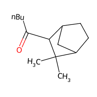 CCCCC(=O)C1C2CCC(C2)C1(C)C